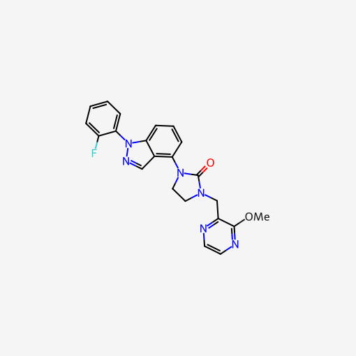 COc1nccnc1CN1CCN(c2cccc3c2cnn3-c2ccccc2F)C1=O